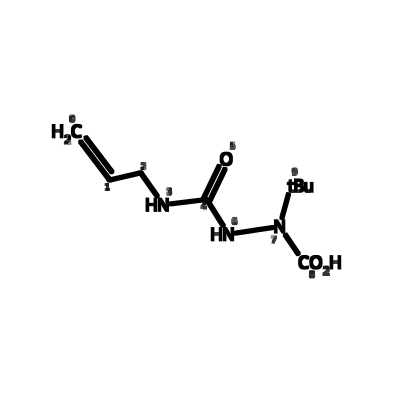 C=CCNC(=O)NN(C(=O)O)C(C)(C)C